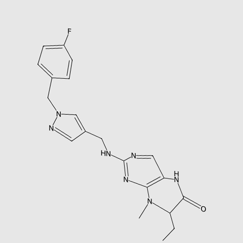 CCC1C(=O)Nc2cnc(NCc3cnn(Cc4ccc(F)cc4)c3)nc2N1C